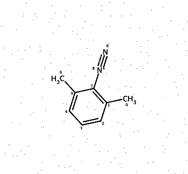 Cc1cccc(C)c1[N+]#N